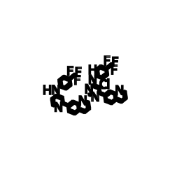 FC(F)(F)c1ccc(Nc2ccnc(-c3ccc4cccnc4c3)c2)cc1.FC(F)(F)c1ccc(Nc2ncnc(-c3ccc4cccnc4c3)c2Cl)cc1